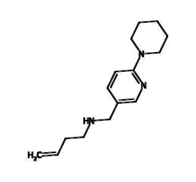 C=CCCNCc1ccc(N2CCCCC2)nc1